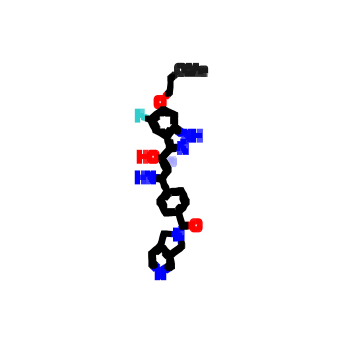 COCCOc1cc2[nH]nc(/C(O)=C/C(=N)c3ccc(C(=O)N4Cc5ccncc5C4)cc3)c2cc1F